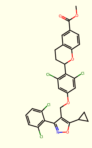 COC(=O)c1ccc2c(c1)CCC(c1c(Cl)cc(OCc3c(-c4c(Cl)cccc4Cl)noc3C3CC3)cc1Cl)O2